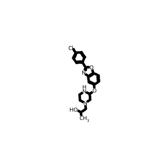 CC(O)CN1CCNC(Oc2ccc3oc(-c4ccc(Cl)cc4)nc3c2)C1